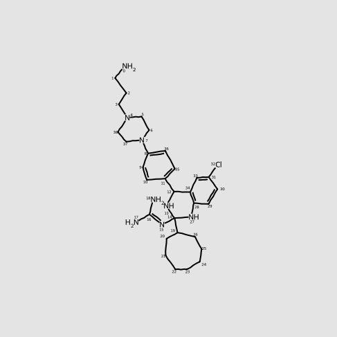 NCCCN1CCN(c2ccc(C3NC(N=C(N)N)(C4CCCCCCC4)Nc4ccc(Cl)cc43)cc2)CC1